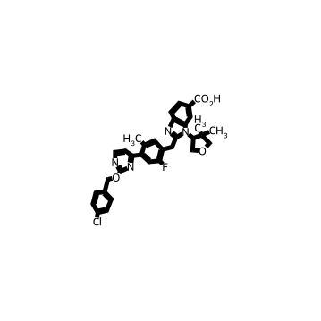 Cc1cc(Cc2nc3ccc(C(=O)O)cc3n2C2COCC2(C)C)c(F)cc1-c1ccnc(OCc2ccc(Cl)cc2)n1